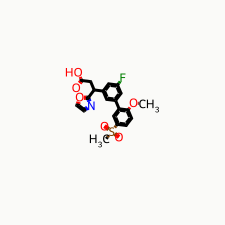 COc1ccc(S(C)(=O)=O)cc1-c1cc(F)cc(C(CC(=O)O)c2ncco2)c1